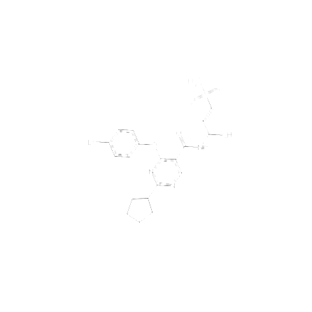 CCc1ccc(Oc2nc(C3CCCC3)ncc2C(=O)NC(C)C=CS(C)(=O)=O)cc1